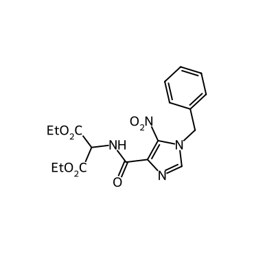 CCOC(=O)C(NC(=O)c1ncn(Cc2ccccc2)c1[N+](=O)[O-])C(=O)OCC